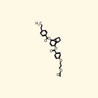 CCCc1ccc(C(=O)Oc2ccc(OC(=O)c3ccc(OCCCOC4CO4)cc3)c3c2C2CCC3C2)cc1